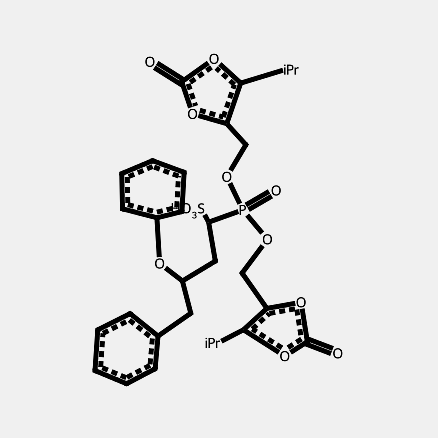 CC(C)c1oc(=O)oc1COP(=O)(OCc1oc(=O)oc1C(C)C)C(CC(Cc1ccccc1)Oc1ccccc1)S(=O)(=O)O